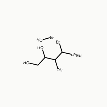 CCCCCC(CC)C(O)C(O)CO.CCO